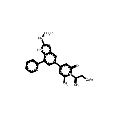 C=C(COC)n1c(C)cc(-c2cc(-c3ccccn3)c3[nH]c(NC(=O)OCC)nc3c2)cc1=O